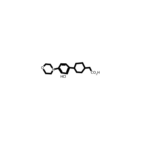 Cl.O=C(O)CC1CCC(c2ccc(N3CCOCC3)cc2)CC1